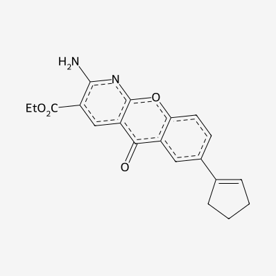 CCOC(=O)c1cc2c(=O)c3cc(C4=CCCC4)ccc3oc2nc1N